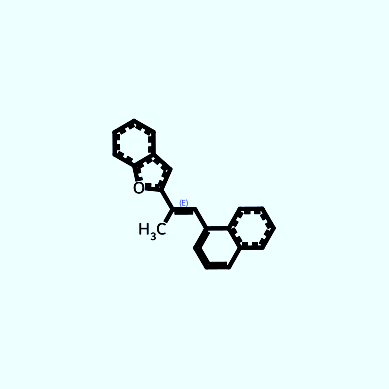 C/C(=C\C1=C=C=Cc2ccccc21)c1cc2ccccc2o1